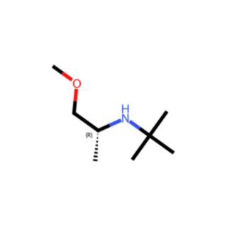 COC[C@@H](C)NC(C)(C)C